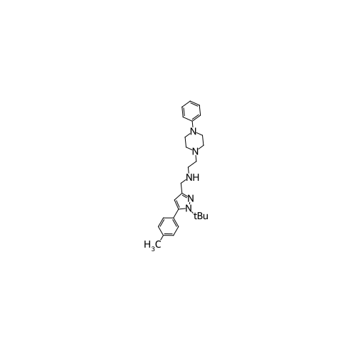 Cc1ccc(-c2cc(CNCCN3CCN(c4ccccc4)CC3)nn2C(C)(C)C)cc1